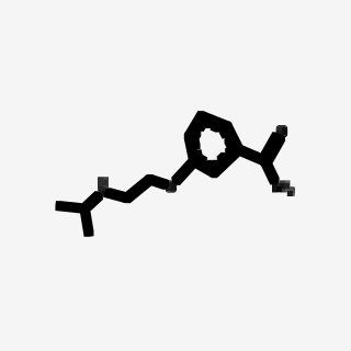 CC(C)NCCOc1cccc(C(N)=O)c1